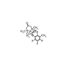 Cc1c(F)c(F)c(F)c(OC(=O)C2(C)C(C)(C)CC(=O)CC2(C)C)c1F